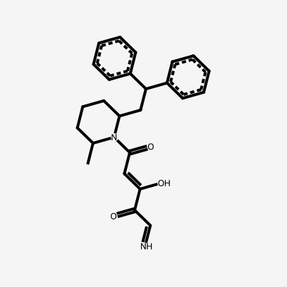 CC1CCCC(CC(c2ccccc2)c2ccccc2)N1C(=O)/C=C(\O)C(=O)C=N